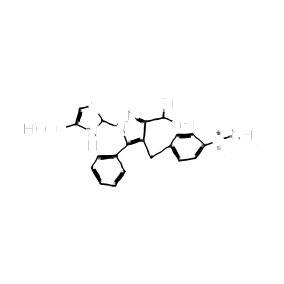 CCCC(CC)c1nn(C2NC(C(=O)O)=CS2)c(-c2ccccc2)c1Cc1ccc(S(N)(=O)=O)cc1